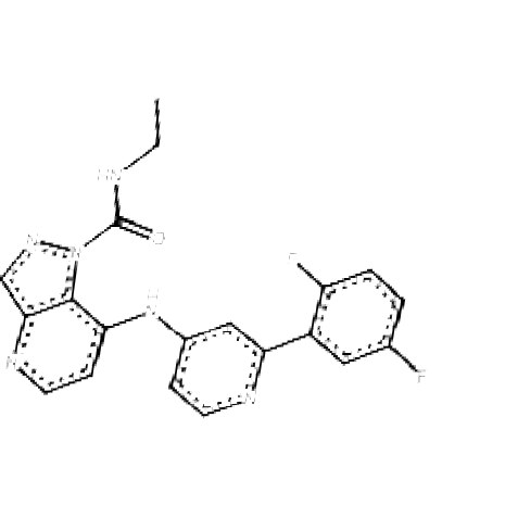 CCNC(=O)n1ncc2nccc(Nc3ccnc(-c4cc(F)ccc4F)c3)c21